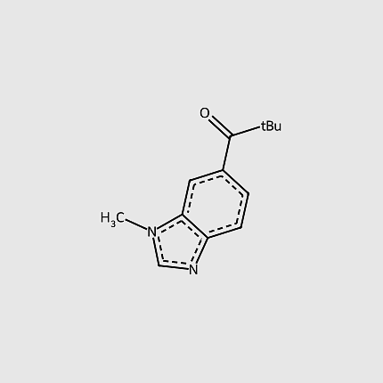 Cn1cnc2ccc(C(=O)C(C)(C)C)cc21